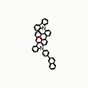 c1ccc(-c2ccccc2N(c2ccc(-c3ccc4ccccc4c3)cc2)c2ccc(-c3cccc(-n4c5ccccc5c5ccccc54)c3-c3ccccc3)cc2)cc1